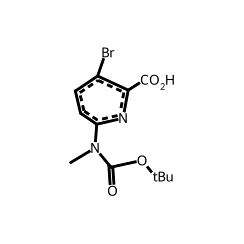 CN(C(=O)OC(C)(C)C)c1ccc(Br)c(C(=O)O)n1